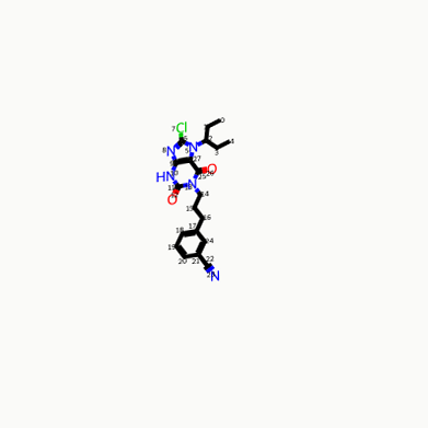 CCC(CC)n1c(Cl)nc2[nH]c(=O)n(CCCc3cccc(C#N)c3)c(=O)c21